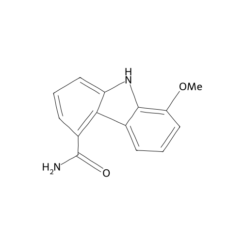 COc1cccc2c1[nH]c1cccc(C(N)=O)c12